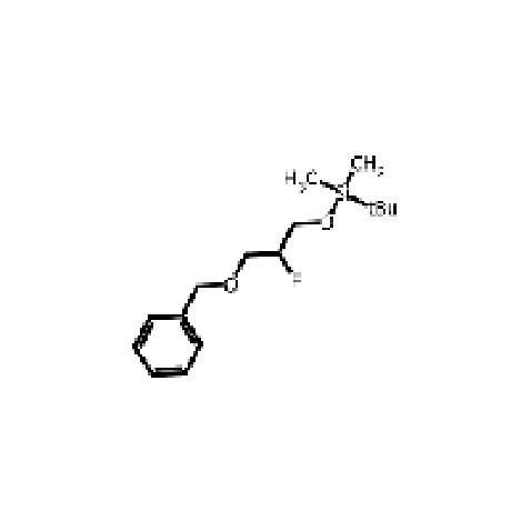 CC(C)(C)[Si](C)(C)OCC(F)COCc1ccccc1